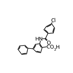 O=C(Nc1cc(-c2ccccc2)ccc1C(=O)O)c1ccc(Cl)cc1